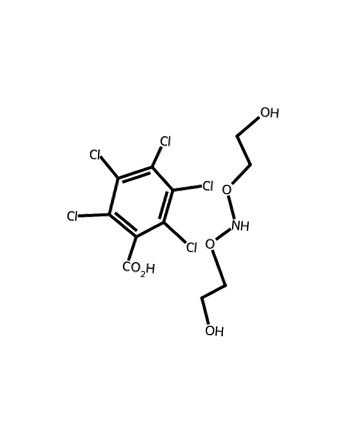 O=C(O)c1c(Cl)c(Cl)c(Cl)c(Cl)c1Cl.OCCONOCCO